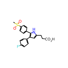 CS(=O)(=O)c1ccc(-c2[nH]c(CCC(=O)O)cc2-c2ccc(F)cc2)cc1